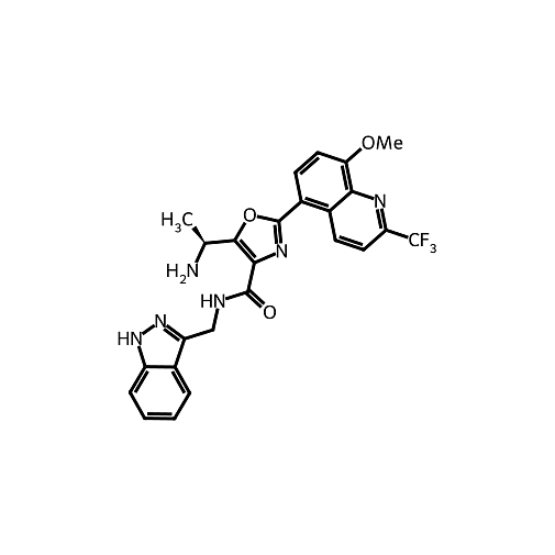 COc1ccc(-c2nc(C(=O)NCc3n[nH]c4ccccc34)c([C@H](C)N)o2)c2ccc(C(F)(F)F)nc12